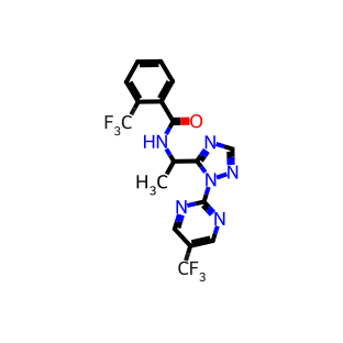 CC(NC(=O)c1ccccc1C(F)(F)F)c1ncnn1-c1ncc(C(F)(F)F)cn1